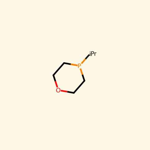 CC(C)P1CCOCC1